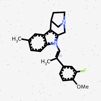 COc1ccc(/C(C)=C/n2c3c(c4cc(C)ccc42)C2CCN(C3)C2)cc1F